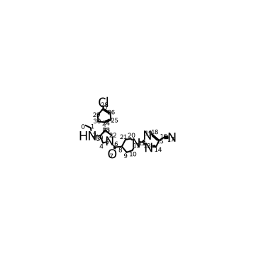 CCN[C@@H]1CN(C(=O)C2CCN(c3ncc(C#N)cn3)CC2)C[C@H]1C1=CC=C(Cl)CC1